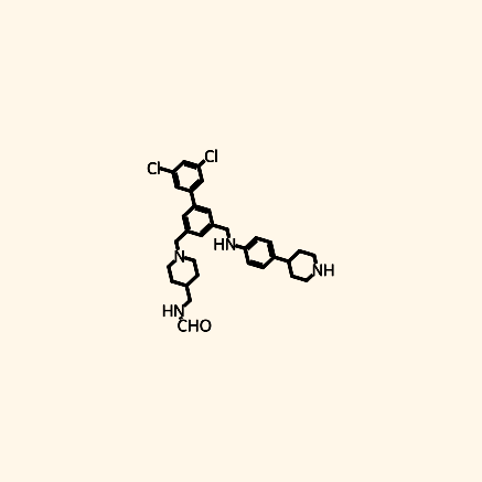 O=CNCC1CCN(Cc2cc(CNc3ccc(C4CCNCC4)cc3)cc(-c3cc(Cl)cc(Cl)c3)c2)CC1